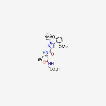 COc1cccc(OC)c1-c1cc(C(=O)N[C@H](CC(=O)NCC(=O)O)CC(C)C)nn1C1CCCCC1